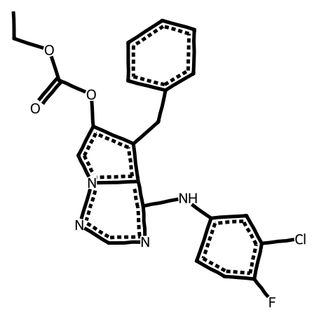 CCOC(=O)Oc1cn2ncnc(Nc3ccc(F)c(Cl)c3)c2c1Cc1ccccc1